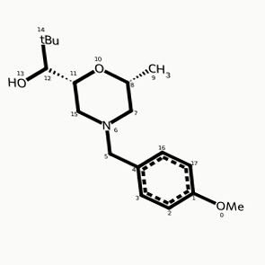 COc1ccc(CN2C[C@@H](C)O[C@@H](C(O)C(C)(C)C)C2)cc1